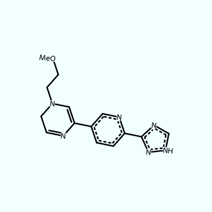 COCCN1C=C(c2ccc(-c3nc[nH]n3)nc2)N=CC1